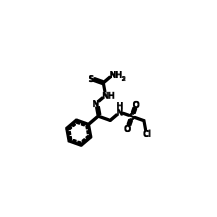 NC(=S)NN=C(CNS(=O)(=O)CCl)c1ccccc1